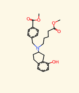 COC(=O)CCCCN(Cc1ccc(C(=O)OC)cc1)C1CCc2cccc(O)c2C1